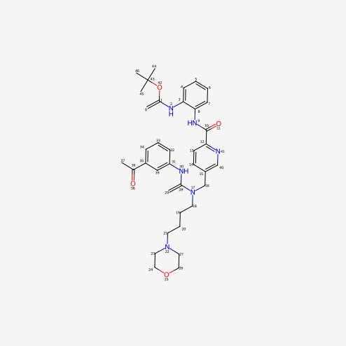 C=C(Nc1ccccc1NC(=O)c1ccc(CN(CCCCN2CCOCC2)C(=C)Nc2cccc(C(C)=O)c2)cn1)OC(C)(C)C